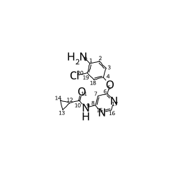 Nc1ccc(Oc2cc(NC(=O)C3CC3)ncn2)cc1Cl